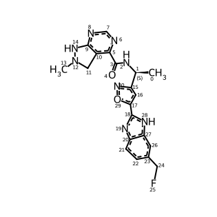 C[C@H](NC(=O)c1ncnc2c1CN(C)N2)c1cc(-c2nc3ccc(CF)cc3[nH]2)on1